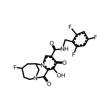 O=C(NCc1c(F)cc(F)cc1F)c1cn2c(c(O)c1=O)C(=O)N1CCC(F)CC2C1